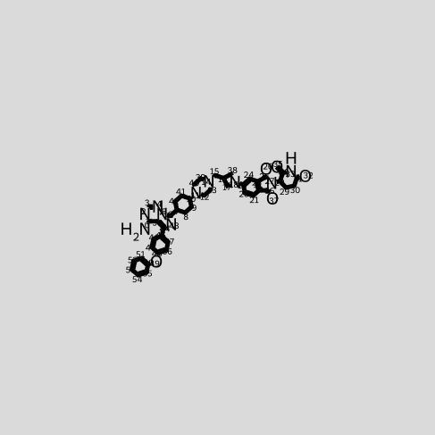 Nc1ncnn2c(C3CCC(N4CCN(CC5CN(c6ccc7c(c6)C(=O)N(C6CCC(=O)NC6=O)C7=O)C5)CC4)CC3)nc(-c3ccc(Oc4ccccc4)cc3)c12